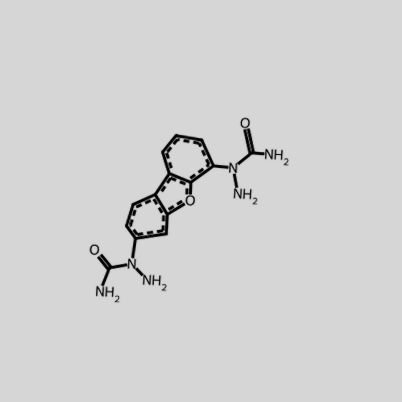 NC(=O)N(N)c1ccc2c(c1)oc1c(N(N)C(N)=O)cccc12